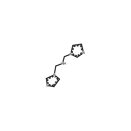 c1cn(CNCn2ccnc2)cn1